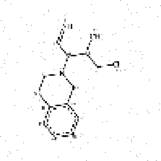 CCC(C)C(C=N)N1CCc2ccccc2C1